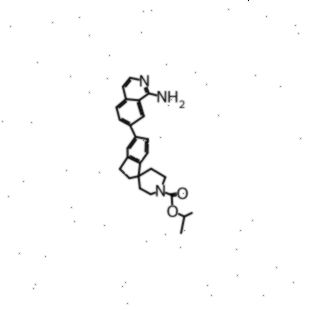 CC(C)OC(=O)N1CCC2(CCc3cc(-c4ccc5ccnc(N)c5c4)ccc32)CC1